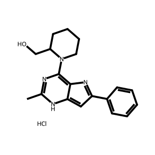 Cc1nc(N2CCCCC2CO)c2nc(-c3ccccc3)cc-2[nH]1.Cl